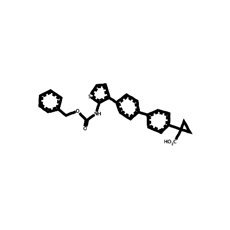 O=C(Nc1sccc1-c1ccc(-c2ccc(C3(C(=O)O)CC3)cc2)cc1)OCc1ccccc1